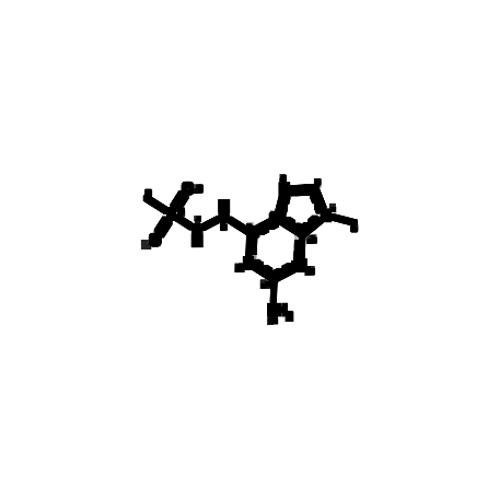 Cn1cnc2c(NNS(C)(=O)=O)nc(N)nc21